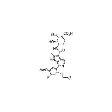 COc1cc(-c2ncnc3c(C(=O)N[C@@H]4CCN(C(=O)O)C(C(C)(C)C)[C@@H]4O)c(C)[nH]c23)c(OCC2CC2)cc1F